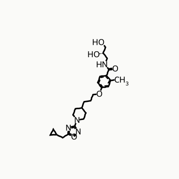 Cc1cc(OCCCC2CCN(c3noc(CC4CC4)n3)CC2)ccc1C(=O)NC[C@H](O)CO